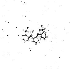 FC(F)(F)c1ccccc1N(I)c1cccc2c1sc1c(C(F)(F)F)cccc12